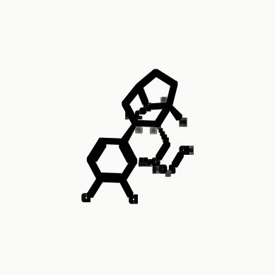 COC[C@@H]1[C@@H](c2ccc(Cl)c(Cl)c2)CC2CC[C@H]1N2C.O=S(=O)(O)O